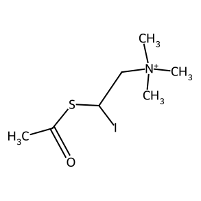 CC(=O)SC(I)C[N+](C)(C)C